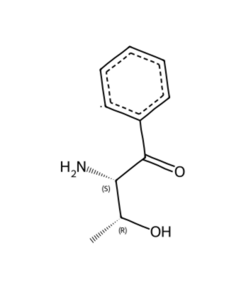 C[C@@H](O)[C@H](N)C(=O)c1[c]cccc1